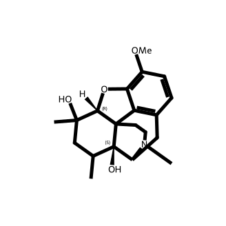 COc1ccc2c3c1O[C@H]1C(C)(O)CC(C)[C@@]4(O)C(C2)N(C)CCC314